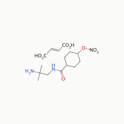 CC(C)(N)CNC(=O)C1CCC(O[N+](=O)[O-])CC1.O=C(O)C=CC(=O)O